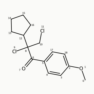 COc1ccc(C(=O)C(Cl)(CCl)C2CCCC2)cc1